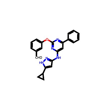 O=Cc1cccc(Oc2nc(Nc3cc(C4CC4)[nH]n3)cc(-c3ccccc3)n2)c1